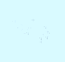 Cc1nc(NC2CCC(NC(=O)c3ccc(OC(F)(F)F)cc3)CC2)cc(N(C)C)n1.Cl